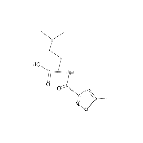 Cc1cc(C(=O)NC(CCC(C)C)C(=O)O)no1